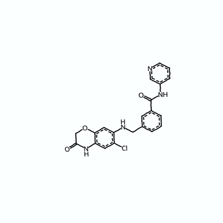 O=C1COc2cc(NCc3cccc(C(=O)Nc4cccnc4)c3)c(Cl)cc2N1